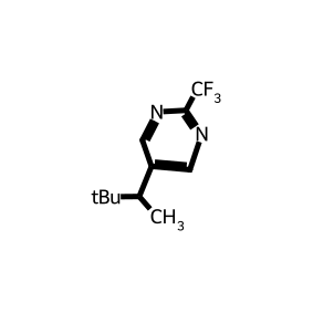 CC(c1cnc(C(F)(F)F)nc1)C(C)(C)C